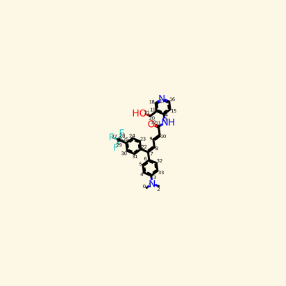 CN(C)c1ccc(/C(=C/C=C/C(=O)Nc2ccncc2CO)c2ccc(C(F)(F)F)cc2)cc1